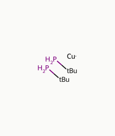 CC(C)(C)P.CC(C)(C)P.[Cu]